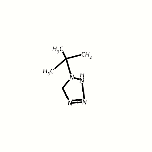 CC(C)(C)N1CN=NN1